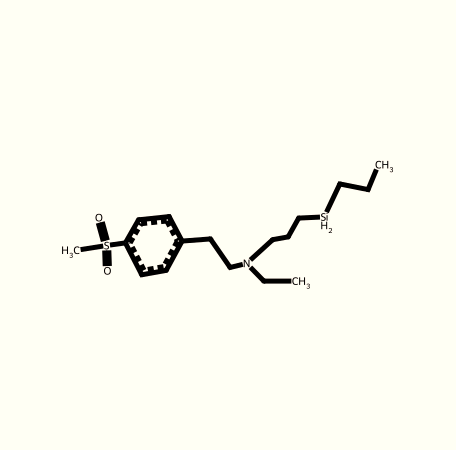 CCC[SiH2]CCCN(CC)CCc1ccc(S(C)(=O)=O)cc1